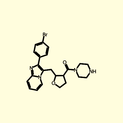 O=C(C1CCOC1Cc1c(-c2ccc(Br)cc2)nc2ccccn12)N1CCNCC1